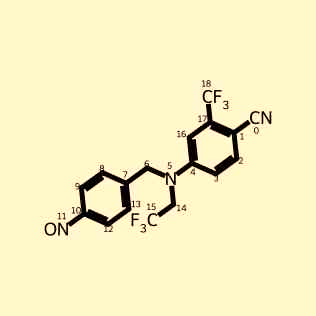 N#Cc1ccc(N(Cc2ccc(N=O)cc2)CC(F)(F)F)cc1C(F)(F)F